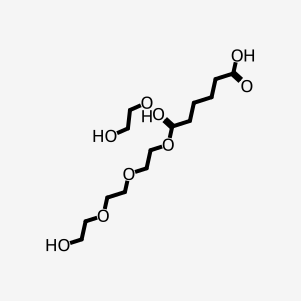 O=C(O)CCCCC(=O)OCCOCCOCCO.OCCO